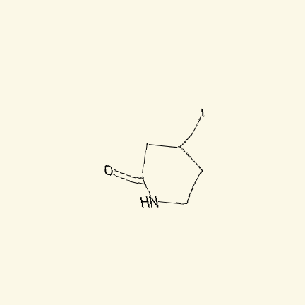 O=C1CC(I)CCN1